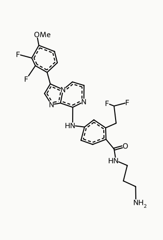 COc1ccc(-c2cnc3c(Nc4ccc(C(=O)NCCCN)c(CC(F)F)c4)nccn23)c(F)c1F